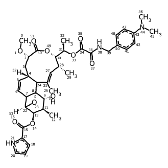 CO[C@H]1C[C@H]2C=CC3C4[C@H](O)[C@@H](C)[C@@H](OC(=O)c5ccc[nH]5)[C@@H]3O[C@]42/C(C)=C/[C@@H](C)[C@@H]([C@@H](C)OC(=O)C(=O)NCc2ccc(N(C)C)cc2)OC1=O